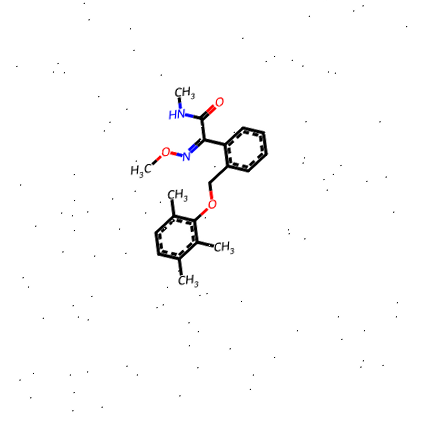 CNC(=O)C(=NOC)c1ccccc1COc1c(C)ccc(C)c1C